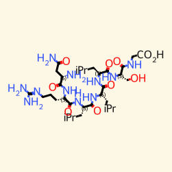 CC(C)C[C@H](NC(=O)[C@H](CC(C)C)NC(=O)[C@H](CC(C)C)NC(=O)[C@H](CCCN=C(N)N)NC(=O)[C@@H](N)CC(N)=O)C(=O)N[C@@H](CO)C(=O)NCC(=O)O